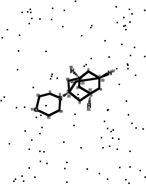 [CH]1[C@@H]2C[C@@H]3C[C@H]1C[C@@](N1CCOCC1)(C2)C3